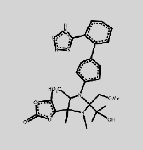 COCC1(C(C)(C)O)N(c2ccc(-c3ccccc3-c3nnn[nH]3)cc2)C(C(=O)O)C(C)(c2oc(=O)oc2C)N1C